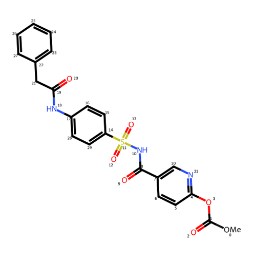 COC(=O)Oc1ccc(C(=O)NS(=O)(=O)c2ccc(NC(=O)Cc3ccccc3)cc2)cn1